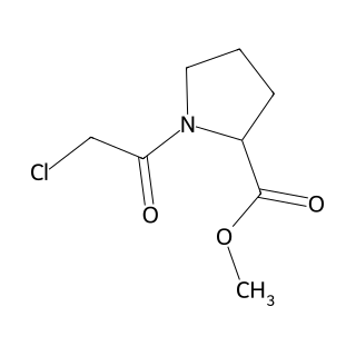 COC(=O)C1CCCN1C(=O)CCl